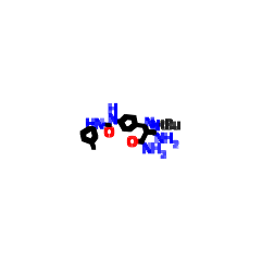 Cc1cccc(NC(=O)Nc2ccc(-c3nn(C(C)(C)C)c(N)c3C(N)=O)cc2)c1